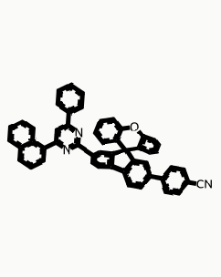 N#Cc1ccc(-c2ccc3c(c2)C2(c4ccccc4Oc4ccccc42)c2cc(-c4nc(-c5ccccc5)cc(-c5cccc6ccccc56)n4)ccc2-3)cc1